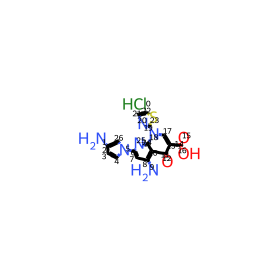 Cl.Nc1ccn(-c2cc(N)c3c(=O)c(C(=O)O)cn(-c4nccs4)c3n2)c1